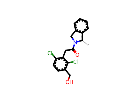 C[C@H]1c2ccccc2CN1C(=O)Cc1c(Cl)ccc(CO)c1Cl